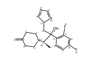 C=C1CCN([C@H](C)C(O)(CC2C=NC=N2)c2ccc(F)cc2F)CC1